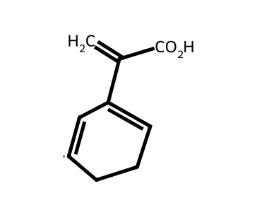 C=C(C(=O)O)C1=CCC[C]=C1